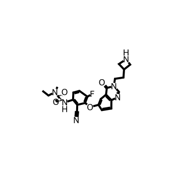 CCN(C)S(=O)(=O)Nc1ccc(F)c(Oc2ccc3ncn(CCC4CNC4)c(=O)c3c2)c1C#N